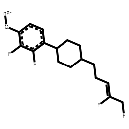 CCCOc1ccc(C2CCC(CC/C=C(\F)CF)CC2)c(F)c1F